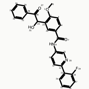 COc1ccc(C(=O)Nc2ccc(-c3ccccc3F)nc2)cc1C(O)C(=O)c1ccccc1